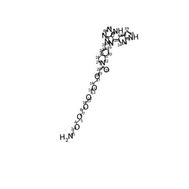 NCCOCCOCCOCCOCCOCCOCCC(=O)N1CCc2cc(Cn3nc(-c4cnc5[nH]ccc5c4)c4c(N)ncnc43)ccc2C1